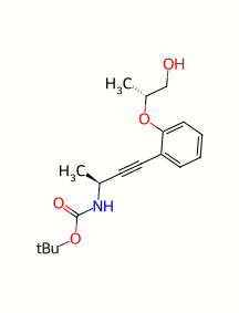 C[C@H](CO)Oc1ccccc1C#C[C@H](C)NC(=O)OC(C)(C)C